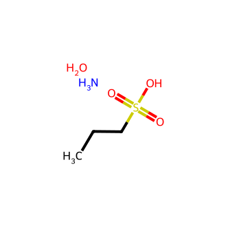 CCCS(=O)(=O)O.N.O